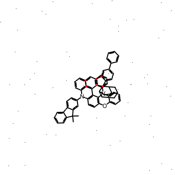 CC1(C)c2ccccc2-c2ccc(N(c3ccccc3)c3ccc4c(c3-c3cccc5c3C3(c6ccc(-c7ccccc7)cc6-5)C5CC6CC(C5)CC3C6)N(c3ccccc3)c3ccccc3O4)cc21